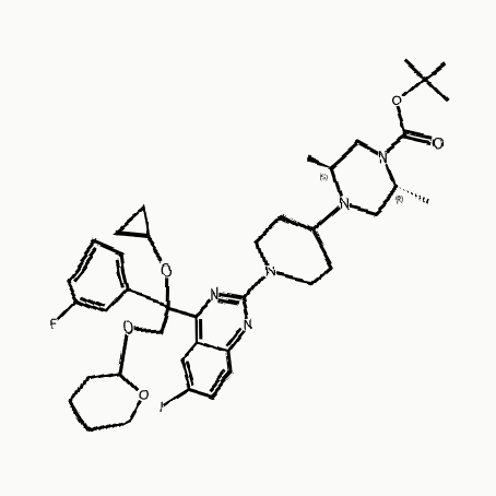 C[C@@H]1CN(C2CCN(c3nc(C(COC4CCCCO4)(OC4CC4)c4cccc(F)c4)c4cc(I)ccc4n3)CC2)[C@@H](C)CN1C(=O)OC(C)(C)C